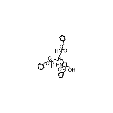 O=C(NCCN(CCNC(=O)OCc1ccccc1)CC(CCCO)NC(=O)OCc1ccccc1)OCc1ccccc1